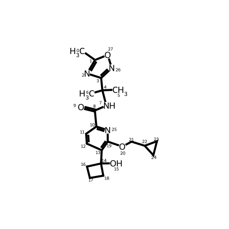 Cc1nc(C(C)(C)NC(=O)c2ccc(C3(O)CCC3)c(OCC3CC3)n2)no1